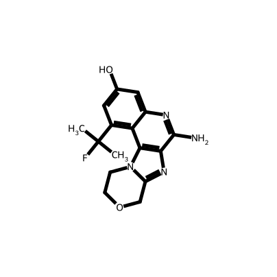 CC(C)(F)c1cc(O)cc2nc(N)c3nc4n(c3c12)CCOC4